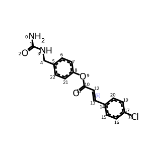 NC(=O)NCc1ccc(OC(=O)/C=C/c2ccc(Cl)cc2)cc1